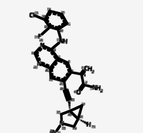 C=C(C(N)=O)c1cc2c(Nc3cccc(Cl)c3F)ncnc2cc1C#C[C@]12C[C@H]1CN(C(C)C)C2